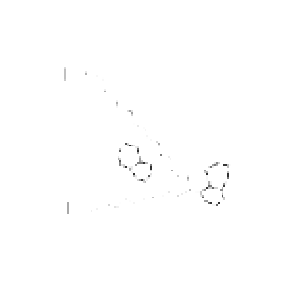 CCCCCCCCCCC(CSCC(CCCCCCCCCC)c1cccc2ccccc12)c1cccc2ccccc12